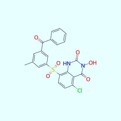 Cc1cc(C(=O)c2ccccc2)cc(S(=O)(=O)c2ccc(Cl)c3c(=O)n(O)c(=O)[nH]c23)c1